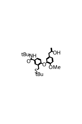 C=C(O)Cc1ccc(OC)c(Oc2ccc(C(=O)NC(C)(C)C)cc2CSC(C)(C)C)c1